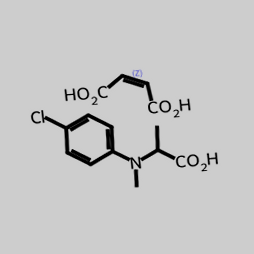 CC(C(=O)O)N(C)c1ccc(Cl)cc1.O=C(O)/C=C\C(=O)O